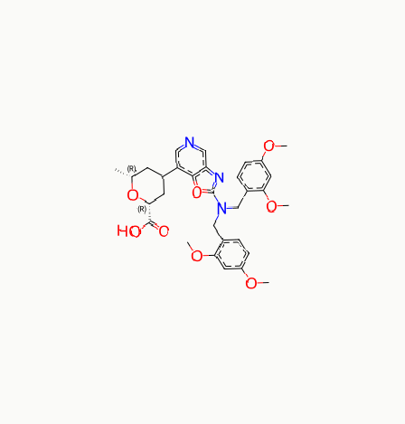 COc1ccc(CN(Cc2ccc(OC)cc2OC)c2nc3cncc(C4C[C@@H](C)O[C@@H](C(=O)O)C4)c3o2)c(OC)c1